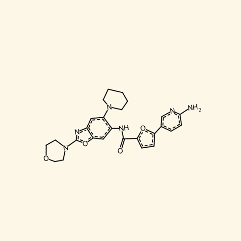 Nc1ccc(-c2ccc(C(=O)Nc3cc4oc(N5CCOCC5)nc4cc3N3CCCCC3)o2)cn1